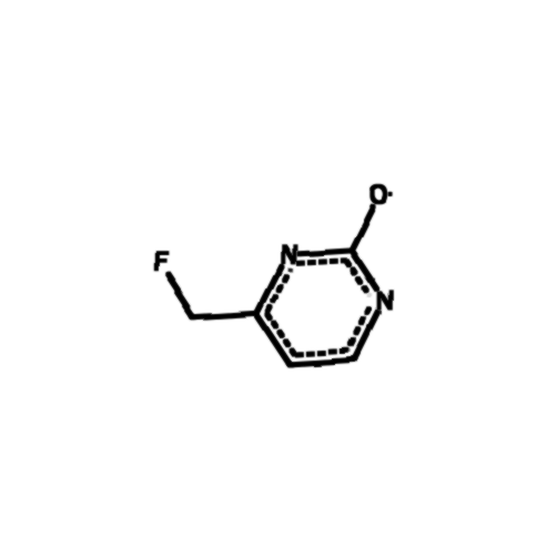 [O]c1nccc(CF)n1